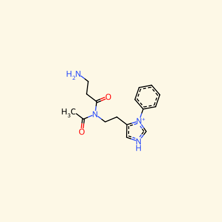 CC(=O)N(CCc1c[nH]c[n+]1-c1ccccc1)C(=O)CCN